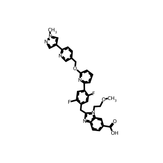 COCCn1c(Cc2cc(F)c(-c3cccc(OCc4ccc(-c5cnn(C)c5)nc4)n3)cc2F)nc2ccc(C(=O)O)cc21